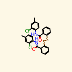 Cc1ccc(NC(=O)c2ccccc2SSc2ccccc2C(=O)Nc2ccc(C)cc2Cl)c(Cl)c1